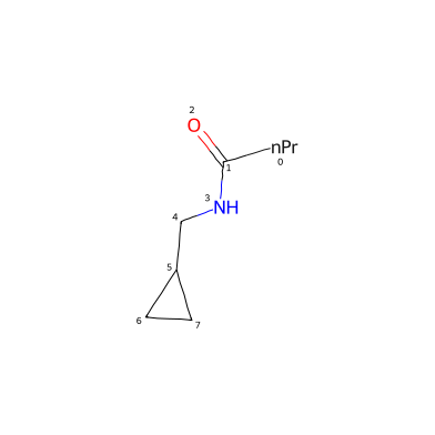 CCCC(=O)NCC1CC1